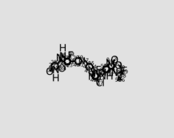 Cn1c(=O)c2c(c3cc(Nc4nc(N5CCC(CN6CCC(c7ccc8c(C9CCC(=O)NC9=O)n[nH]c8c7F)CC6)CC5)ncc4Cl)c(F)cc31)N[C@@H](C1CC1)C(F)(F)CO2